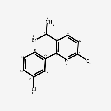 CC(Br)c1ccc(Cl)nc1-c1cccc(Cl)c1